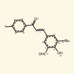 Cc1ccc(C(=O)/C=C/c2cc(C=O)c(O)c(C(C)(C)C)c2)cc1